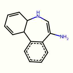 NC1=CNC2C=CC=CC2c2ccccc21